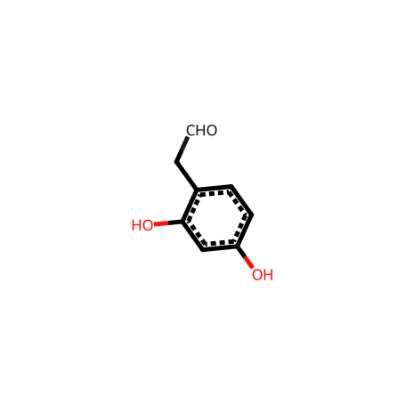 O=CCc1ccc(O)cc1O